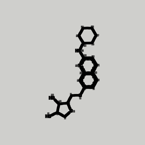 OC1COC(COc2ccc3ccc(NC4CCCCC4)nc3c2)C1O